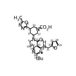 Cc1nnc(C2CC(N(CC(C)C)C(=O)c3cnc(C(C)(C)C)nc3NCc3ccco3)CN(C(=O)O)C2)o1